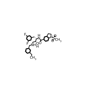 CCc1cccc(CNC[C@H](O)[C@H](Cc2cc(F)cc(F)c2)NC(=O)c2ccc3c(c2)CCN3S(C)(=O)=O)c1